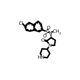 CN([C@H]1CCN(C2CCNCC2)C1=O)S(=O)(=O)c1ccc2cc(Cl)ccc2c1